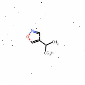 CC(C(=O)O)c1cnoc1